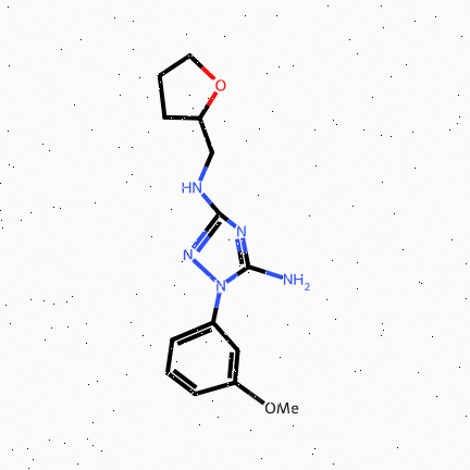 COc1cccc(-n2nc(NCC3CCCO3)nc2N)c1